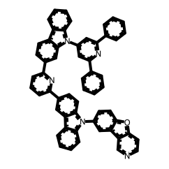 c1ccc(-c2cc(-n3c4ccccc4c4ccc(-c5cccc(-c6ccc7c(c6)c6ccccc6n7-c6ccc7oc8ccncc8c7c6)n5)cc43)cc(-c3ccccc3)n2)cc1